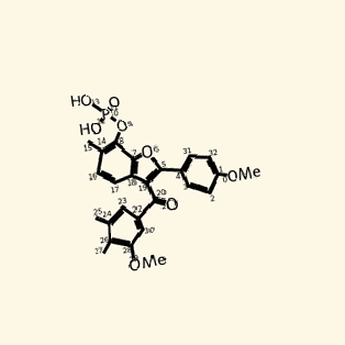 COc1ccc(-c2oc3c(OP(=O)(O)O)c(C)ccc3c2C(=O)c2cc(C)c(C)c(OC)c2)cc1